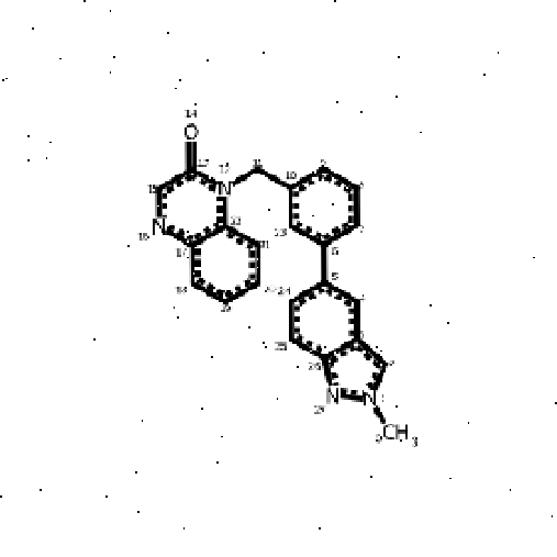 Cn1cc2cc(-c3cccc(Cn4c(=O)cnc5ccccc54)c3)ccc2n1